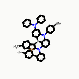 Cc1ccc2c3c(sc2c1)N(c1ccccc1-c1ccc(C(C)(C)C)cc1)c1cccc2c1B3c1ccc(N(c3ccccc3)c3ccccc3)cc1N2c1ccc(C(C)(C)C)cc1